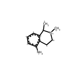 CC1c2cccc(N)c2CCN1C